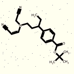 CCC(CCN(/C=C\C#N)CC#N)c1ccc(C(=O)OC(C)(C)C)cc1